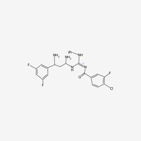 CC(C)N/C(=N/C(=O)c1ccc(Cl)c(F)c1)NC(N)CC(N)c1cc(F)cc(F)c1